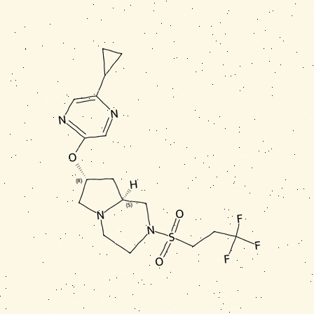 O=S(=O)(CCC(F)(F)F)N1CCN2C[C@H](Oc3cnc(C4CC4)cn3)C[C@H]2C1